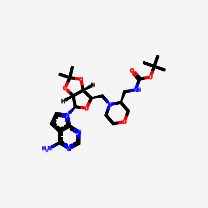 CC(C)(C)OC(=O)NC[C@H]1COCCN1C[C@H]1O[C@@H](n2ccc3c(N)ncnc32)[C@@H]2OC(C)(C)O[C@@H]21